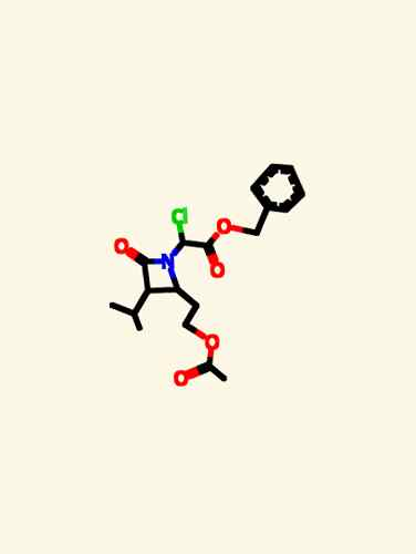 CC(=O)OCCC1C(C(C)C)C(=O)N1C(Cl)C(=O)OCc1ccccc1